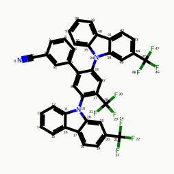 N#Cc1cccc(-c2cc(-n3c4ccccc4c4ccc(C(F)(F)F)cc43)c(C(F)(F)F)cc2-n2c3ccccc3c3ccc(C(F)(F)F)cc32)c1